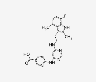 Cc1[nH]c2c(F)ccc(C)c2c1CCNc1cc(Nc2ccc(C(=O)O)cn2)ncn1